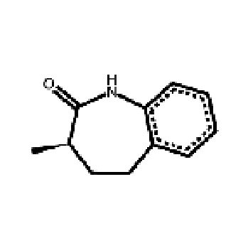 C[C@@H]1CCc2ccccc2NC1=O